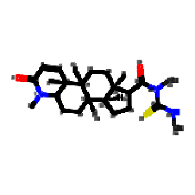 CN1C(=O)C=C[C@@]2(C)C1CC[C@@H]1[C@H]2CC[C@]2(C)C(C(=O)N(C(=S)NC(C)(C)C)C(C)(C)C)CC[C@@H]12